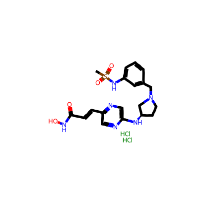 CS(=O)(=O)Nc1cccc(CN2CC[C@@H](Nc3cnc(C=CC(=O)NO)cn3)C2)c1.Cl.Cl